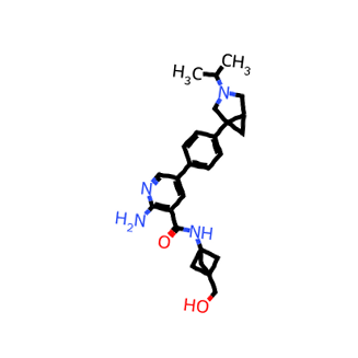 CC(C)N1CC2CC2(c2ccc(-c3cnc(N)c(C(=O)NC45CC(CO)(C4)C5)c3)cc2)C1